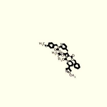 COc1ccc(CN(C(=O)OC(C)(C)C)c2cc(C[C@H]3C(=O)N(C(=O)N4CCCC(c5cnn(C)c5)C4)[C@@H]3C(=O)OCc3ccccc3)ccn2)cc1